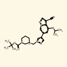 CC(C)Sc1cc(-c2cnn(C[C@@H]3CCCN(C(=O)OC(C)(C)C)C3)c2)cn2ncc(C#N)c12